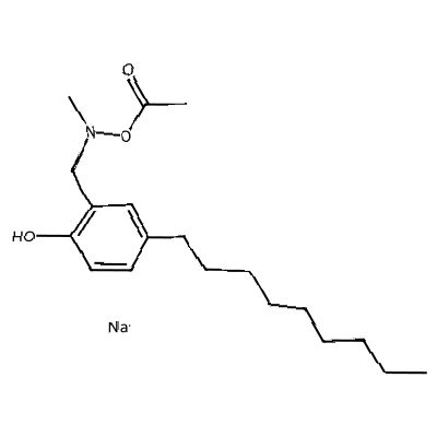 CCCCCCCCCc1ccc(O)c(CN(C)OC(C)=O)c1.[Na]